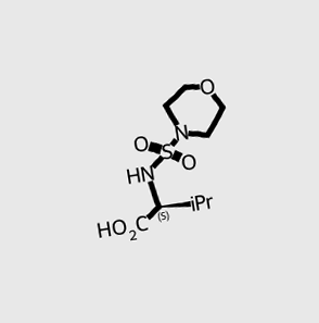 CC(C)[C@H](NS(=O)(=O)N1CCOCC1)C(=O)O